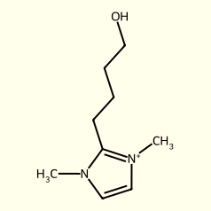 Cn1cc[n+](C)c1CCCCO